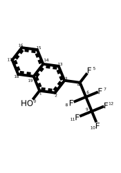 Oc1cc(C(F)C(F)(F)C(F)(F)F)cc2ccccc12